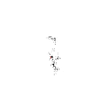 O=C1CCC(N2Cc3c(NCCCCCN4CC(COc5cccc(-c6ccc(Cl)cc6)c5CN5CCN(c6ccc(C(=O)NS(=O)(=O)c7ccc(NCC8CCOCC8)c([N+](=O)[O-])c7)c(Oc7cnc8[nH]ccc8c7)c6)CC5)C4)cccc3C2=O)C(=O)N1